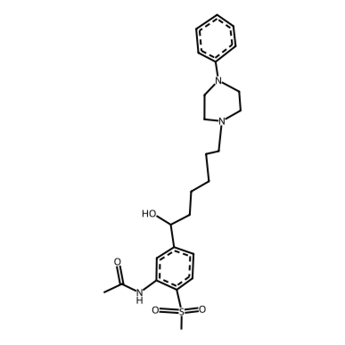 CC(=O)Nc1cc(C(O)CCCCCN2CCN(c3ccccc3)CC2)ccc1S(C)(=O)=O